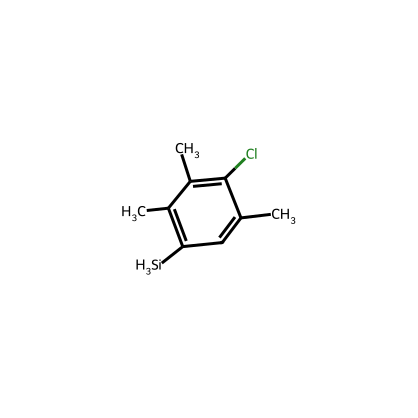 Cc1cc([SiH3])c(C)c(C)c1Cl